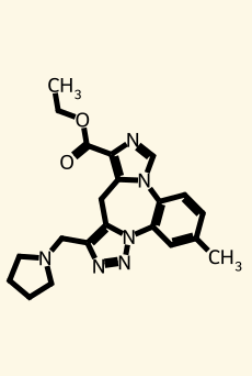 CCOC(=O)c1ncn2c1Cc1c(CN3CCCC3)nnn1-c1cc(C)ccc1-2